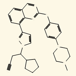 CN1CCN(c2ccc(Nc3ncc4cccc(-c5ccn(C(CC#N)C6CCCC6)n5)c4n3)cc2)CC1